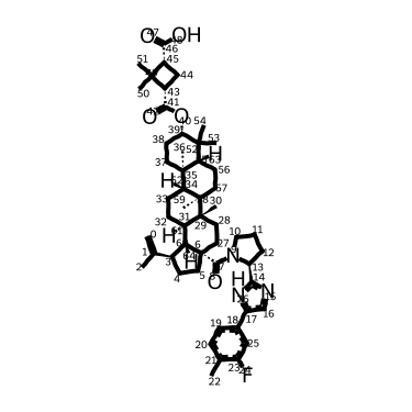 C=C(C)[C@@H]1CC[C@]2(C(=O)N3CCC[C@H]3c3ncc(-c4ccc(C)c(F)c4)[nH]3)CC[C@]3(C)[C@H](CC[C@@H]4[C@@]5(C)CC[C@H](OC(=O)[C@H]6C[C@@H](C(=O)O)C6(C)C)C(C)(C)[C@@H]5CC[C@]43C)[C@@H]12